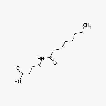 CCCCCCCC(=O)NSCCC(=O)O